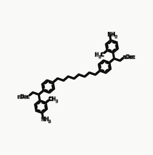 CCCCCCCCCCCC(c1ccc(CCCCCCCCc2ccc(C(CCCCCCCCCCC)c3ccc(N)cc3C)cc2)cc1)c1ccc(N)cc1C